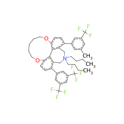 CCCC[N+]1(CCCC)Cc2c(-c3cc(C)cc(C(F)(F)F)c3)ccc3c2-c2c(ccc(-c4cc(C(F)(F)F)cc(C(F)(F)F)c4)c2C1)OCCCCCO3